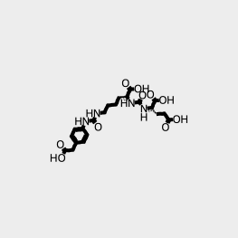 O=C(O)CC[C@H](NC(=O)N[C@@H](CCCCNC(=O)Nc1ccc(CC(=O)O)cc1)C(=O)O)C(=O)O